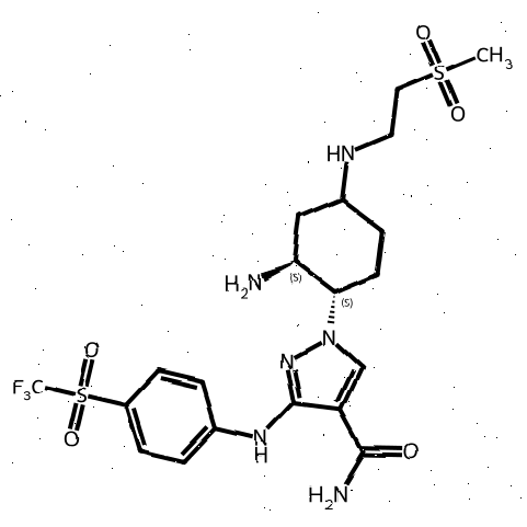 CS(=O)(=O)CCNC1CC[C@H](n2cc(C(N)=O)c(Nc3ccc(S(=O)(=O)C(F)(F)F)cc3)n2)[C@@H](N)C1